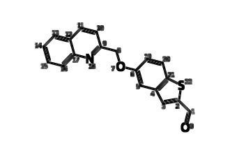 O=Cc1cc2cc(OCc3ccc4ccccc4n3)ccc2s1